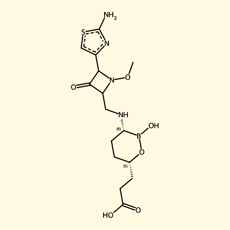 CON1C(CN[C@H]2CC[C@@H](CCC(=O)O)OB2O)C(=O)C1c1csc(N)n1